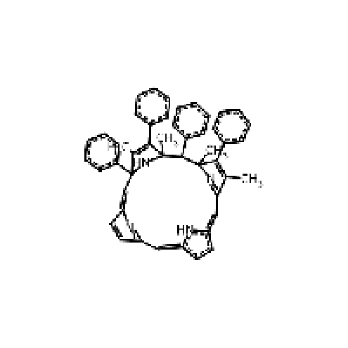 CC1=C(c2ccccc2)C2(C)N=C1/C=c1/cc/c([nH]1)=C/C1=NC(=C\C3(c4ccccc4)NC(C)(C(c4ccccc4)=C3C)C2c2ccccc2)/C=C1